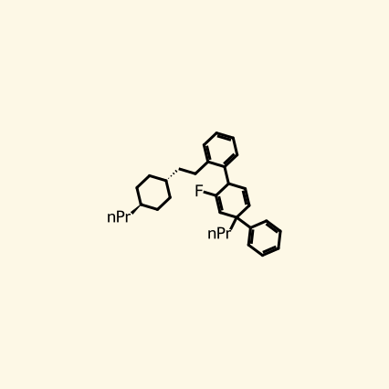 CCCC1(c2ccccc2)C=CC(c2ccccc2CC[C@H]2CC[C@H](CCC)CC2)C(F)=C1